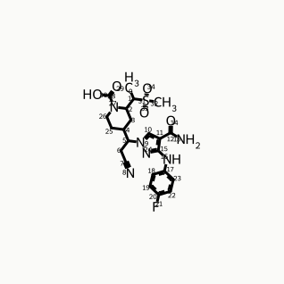 CC(C1CC(C(CC#N)n2cc(C(N)=O)c(Nc3ccc(F)cc3)n2)CCN1C(=O)O)S(C)(=O)=O